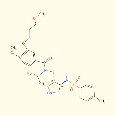 COCCCOc1cc(C(=O)N(C[C@H]2CNC[C@@H]2NS(=O)(=O)c2ccc(C)cc2)C(C)C)ccc1OC